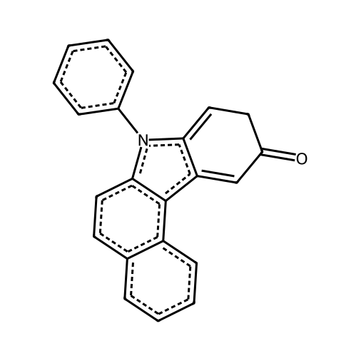 O=C1C=c2c(n(-c3ccccc3)c3ccc4ccccc4c23)=CC1